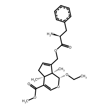 CCO[C@@H]1OC=C(C(=O)OC)[C@@]2(C)CC=C(COC(=O)[C@@H](N)Cc3ccccc3)[C@@]12C